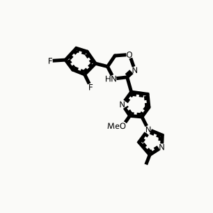 COc1nc(C2=NOCC(c3ccc(F)cc3F)N2)ccc1-n1cnc(C)c1